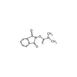 CN(C)C(=S)ON1C(=O)c2ccccc2C1=O